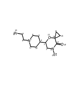 CCN1CC(C2CCN(CCC(C)C)CC2)OC2(CC2)C1=O